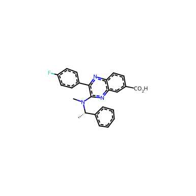 C[C@@H](c1ccccc1)N(C)c1nc2cc(C(=O)O)ccc2nc1-c1ccc(F)cc1